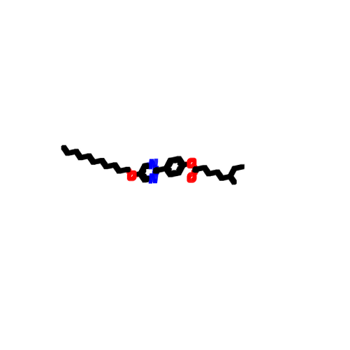 CCCCCCCCCCCOc1cnc(-c2ccc(OC(=O)CCCCC(C)CC)cc2)nc1